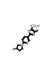 O=C(O)c1sc(-c2ccc(N3CC[C@@H](F)C3)nc2)nc1F